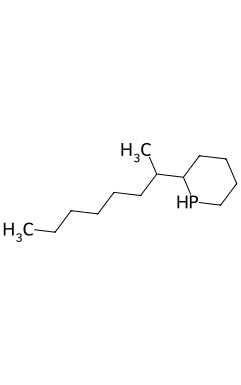 CCCCCCC(C)C1CCCCP1